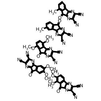 COc1cc2c(cc1OC)-c1nc(C#N)c(C#N)nc1C2=O.COc1ccc(OC)c2c1C(=O)c1nc(C#N)c(C#N)nc1-2.COc1ccc2c(c1OC)C(=O)c1nc(C#N)c(C#N)nc1-2.Cc1ccc2c(c1)-c1nc(C#N)c(C#N)nc1C2=O.Cc1cccc2c1C(=O)c1nc(C#N)c(C#N)nc1-2